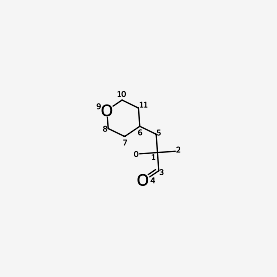 CC(C)(C=O)CC1CCOCC1